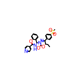 CCC1OC(=O)N(C(NC(=O)c2ccncc2)c2ccccc2)N=C1c1ccc(S(C)(=O)=O)cc1